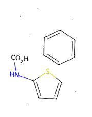 O=C(O)Nc1cccs1.c1ccccc1